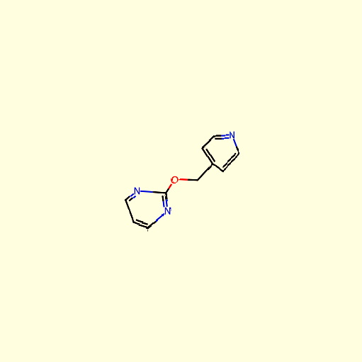 [c]1ccnc(OCc2ccncc2)n1